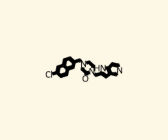 O=C1CN(Cc2ccc3cc(Cl)ccc3c2)CCN1Cc1cc2cnccc2[nH]1